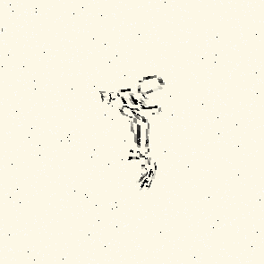 O=C(NCC1(c2ccc(C(F)(F)F)cc2)CCCCC1)c1cccc2nc(CC(=O)N3CCn4cncc4C3)cn12